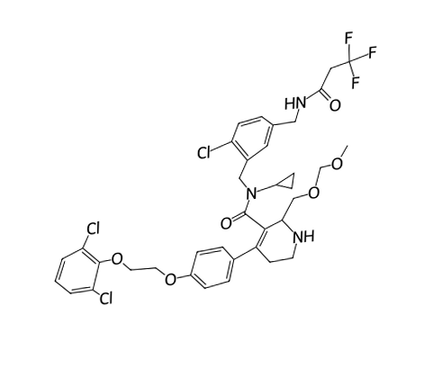 COCOCC1NCCC(c2ccc(OCCOc3c(Cl)cccc3Cl)cc2)=C1C(=O)N(Cc1cc(CNC(=O)CC(F)(F)F)ccc1Cl)C1CC1